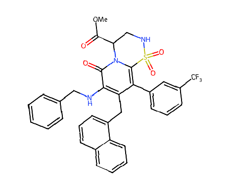 COC(=O)C1CNS(=O)(=O)c2c(-c3cccc(C(F)(F)F)c3)c(Cc3cccc4ccccc34)c(NCc3ccccc3)c(=O)n21